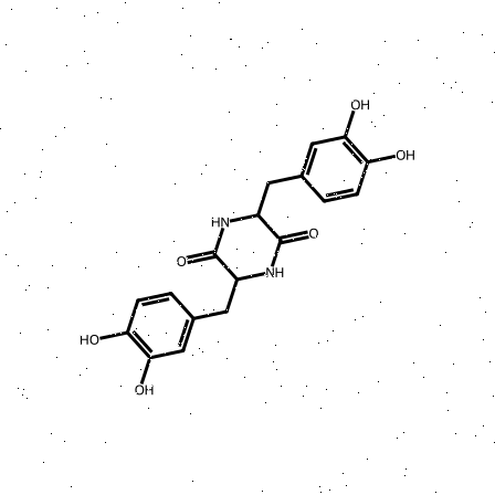 O=C1NC(Cc2ccc(O)c(O)c2)C(=O)NC1Cc1ccc(O)c(O)c1